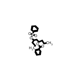 CCCC(CC(CCC)OS(=O)(=O)c1ccccc1)OC(=O)c1ccccc1